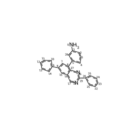 Nc1cccc(-c2cc(-c3ccccc3)cc3cnc(-c4ccccc4)nc23)c1